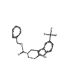 O=C(OCc1ccccc1)C1CCc2[nH]c3ccc(C(F)(F)F)cc3c2C1